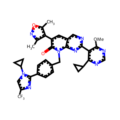 COc1ncnc(C2CC2)c1-c1ncc2cc(-c3c(C)noc3C)c(=O)n(Cc3ccc(-c4nc(C(F)(F)F)cn4C4CC4)cc3)c2n1